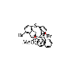 C[O][Zr]1([O]C)[CH]2C(c3ccccc3)=Cc3c(ccc(Br)c32)Sc2ccc(Br)c3c2C=C(c2ccccc2)[CH]31